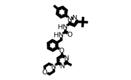 Cc1ccc(-n2nc(C(C)(C)C)cc2NC(=O)NCc2ccccc2Oc2cc(N3CCOCC3)nc(C)n2)cc1